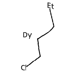 CCCCCCl.[Dy]